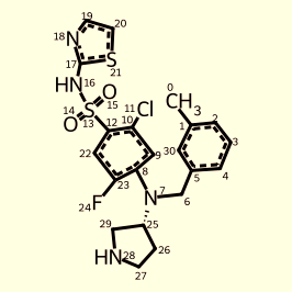 Cc1cccc(CN(c2cc(Cl)c(S(=O)(=O)Nc3nccs3)cc2F)[C@@H]2CCNC2)c1